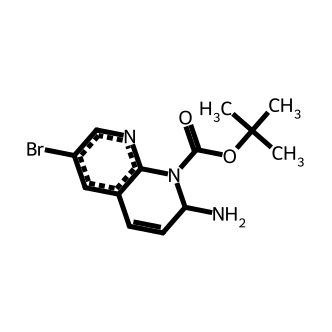 CC(C)(C)OC(=O)N1c2ncc(Br)cc2C=CC1N